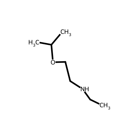 CCNCCOC(C)C